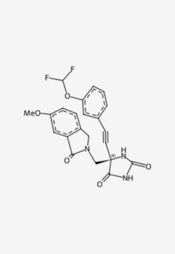 COc1ccc2c(c1)C(=O)N(C[C@@]1(C#Cc3cccc(OC(F)F)c3)NC(=O)NC1=O)C2